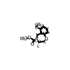 CCCCOc1cccc2c1CN(C(=O)OC(C)(C)C)[C@@H](C)CO2